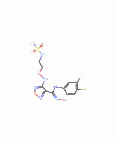 NS(=O)(=O)NCCONc1nonc1/C(=N/O)Nc1ccc(F)c(Br)c1